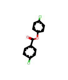 O=C(Oc1ccc(Cl)cc1)c1ccc(Cl)cc1